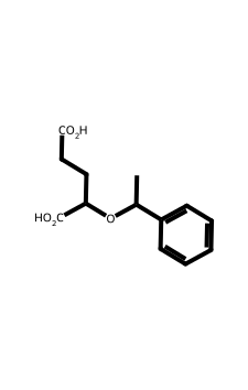 CC(OC(CCC(=O)O)C(=O)O)c1ccccc1